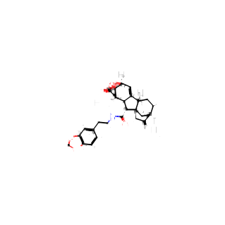 C=C1C[C@]23C[C@H]1CC[C@H]2C1=C[C@H]2OC(=O)[C@@](C)(C1[C@@H]3C(=O)NCCc1ccc3c(c1)OCO3)[C@H]2O